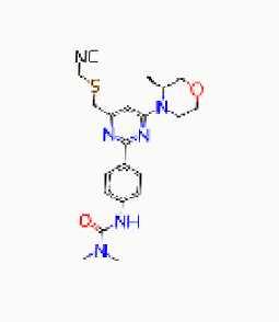 [C-]#[N+]CSCc1cc(N2CCOC[C@@H]2C)nc(-c2ccc(NC(=O)N(C)C)cc2)n1